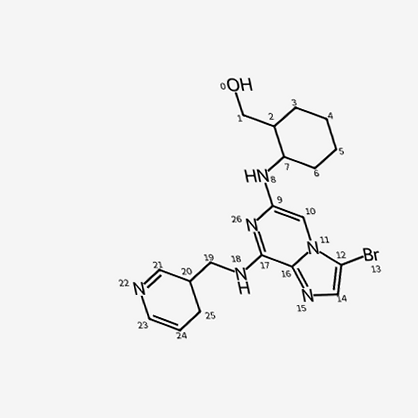 OCC1CCCCC1Nc1cn2c(Br)cnc2c(NCC2C=NC=CC2)n1